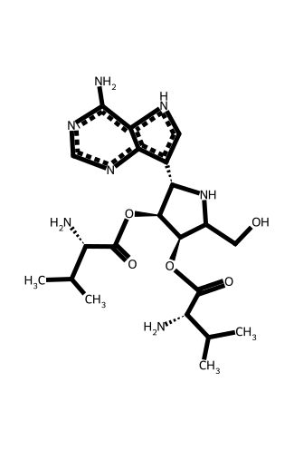 CC(C)[C@H](N)C(=O)O[C@@H]1[C@H](OC(=O)[C@@H](N)C(C)C)C(CO)N[C@H]1c1c[nH]c2c(N)ncnc12